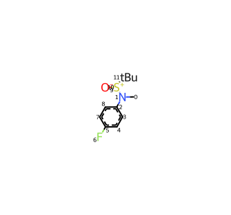 CN(c1ccc(F)cc1)[S+]([O-])C(C)(C)C